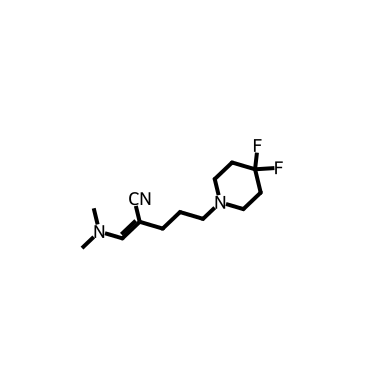 CN(C)/C=C(\C#N)CCCN1CCC(F)(F)CC1